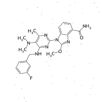 COc1nc2c(C(N)=O)cccc2n1-c1nc(C)c(N(C)C)c(NCc2cccc(F)c2)n1